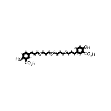 O=C(O)c1cc(CCCSCCCSSCCCSCCCc2ccc(O)c(C(=O)O)c2)ccc1O